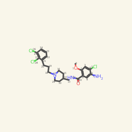 COc1cc(Cl)c(N)cc1C(=O)NCC1CCN(CC[CH]c2cccc(Cl)c2Cl)CC1